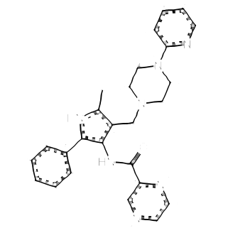 Cc1[nH]c(-c2ccccc2)c(NC(=O)c2cnccn2)c1CN1CCN(c2ccccn2)CC1